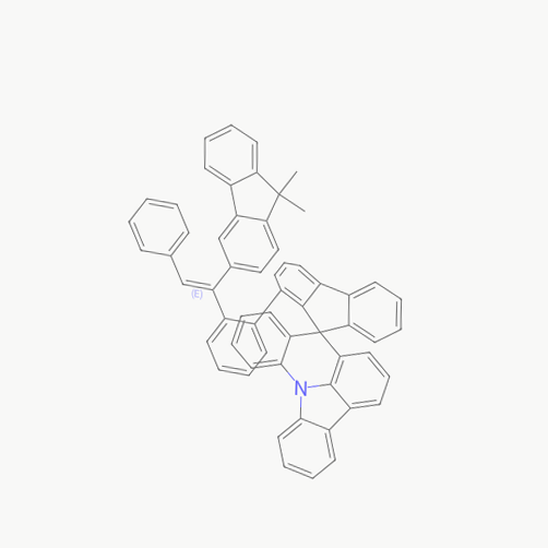 CC1(C)c2ccccc2-c2cc(/C(=C\c3ccccc3)c3ccccc3-c3cccc4c3C3(c5ccccc5-4)c4ccccc4-n4c5ccccc5c5cccc3c54)ccc21